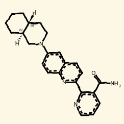 NC(=O)c1cccnc1-c1ccc2cc(N3CC[C@H]4CCCC[C@@H]4C3)ccc2n1